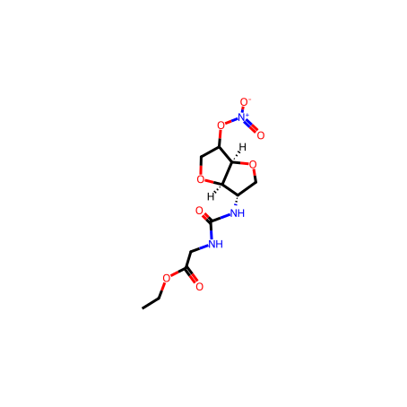 CCOC(=O)CNC(=O)N[C@H]1CO[C@@H]2C(O[N+](=O)[O-])CO[C@H]12